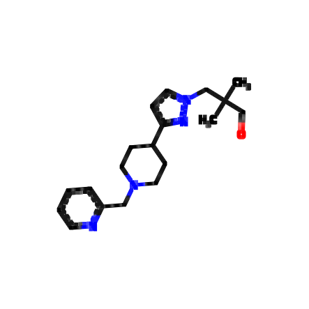 CC(C)(C=O)Cn1ccc(C2CCN(Cc3ccccn3)CC2)n1